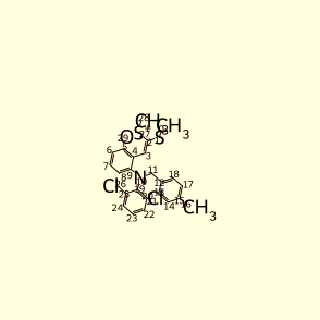 CSC(=Cc1ccccc1N(Cc1ccc(C)cc1)c1c(Cl)cccc1Cl)[S+](C)[O-]